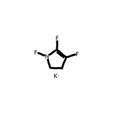 FC1=C(F)N(F)CC1.[K]